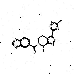 Cc1nsc(-c2nnc3n2CCN(C(=O)c2ccc4ocnc4c2)[C@@H]3C)n1